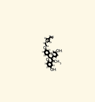 CC1=C(c2ccc(O)cn2)C(c2ccc(OCCN3CC(CF)C3)cc2)Oc2ccc(O)cc21